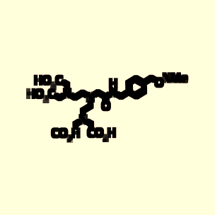 CNOCc1ccc(CNC(=O)CN(CCN(CC(=O)O)CC(=O)O)CCN(CC(=O)O)CC(=O)O)cc1